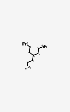 CC(C)CC[C](CCC(C)C)CCC(C)C